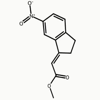 COC(=O)C=C1CCc2ccc([N+](=O)[O-])cc21